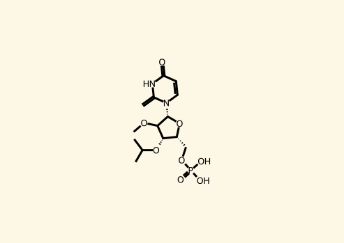 C=C1NC(=O)C=CN1[C@@H]1O[C@H](COP(=O)(O)O)[C@H](OC(C)C)C1OC